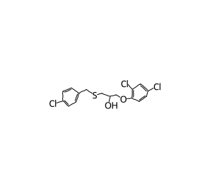 OC(COc1ccc(Cl)cc1Cl)CSCc1ccc(Cl)cc1